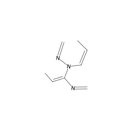 C=N/C(=C/C)N(/C=C\C)N=C